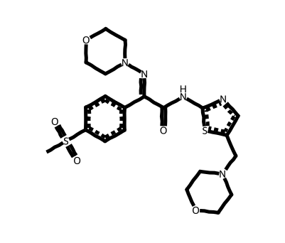 CS(=O)(=O)c1ccc(/C(=N\N2CCOCC2)C(=O)Nc2ncc(CN3CCOCC3)s2)cc1